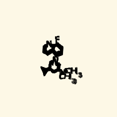 CN(C)C1CC(C2CC2)CN(c2ccc(F)c3ncccc23)C1